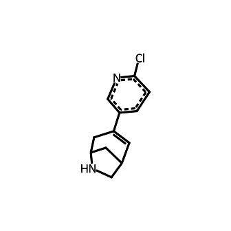 Clc1ccc(C2=CC3CNC(C2)C3)cn1